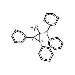 CC1(P(c2ccccc2)c2ccccc2)[C@H](c2ccccc2)[C@H]1c1ccccc1